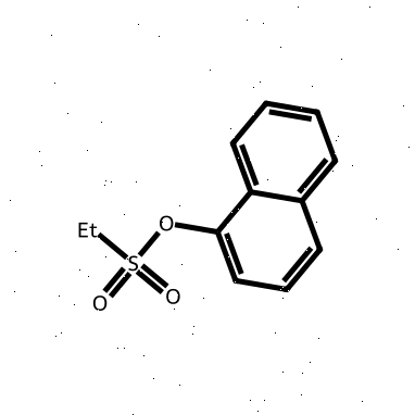 CCS(=O)(=O)Oc1cccc2ccccc12